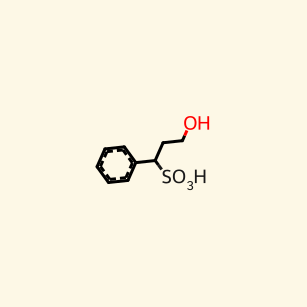 O=S(=O)(O)C(CCO)c1ccccc1